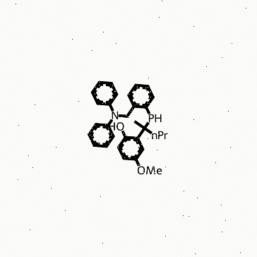 CCCC(C)(Pc1ccccc1CN(c1ccccc1)c1ccccc1)c1cc(OC)ccc1O